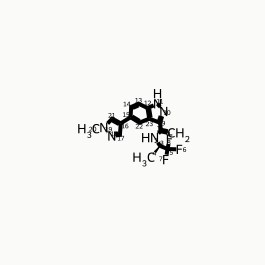 C=C(N[C@H](C)C(F)(F)F)c1n[nH]c2ccc(-c3cnn(C)c3)cc12